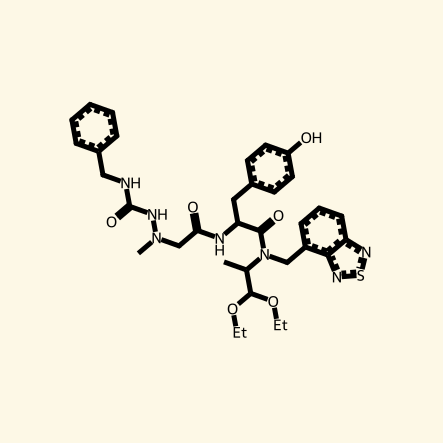 CCOC(OCC)C(C)N(Cc1cccc2nsnc12)C(=O)C(Cc1ccc(O)cc1)NC(=O)CN(C)NC(=O)NCc1ccccc1